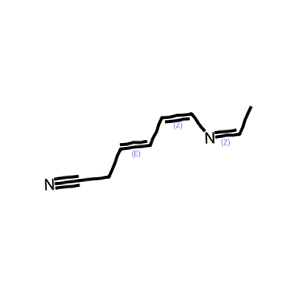 C\C=N/C=C\C=C\CC#N